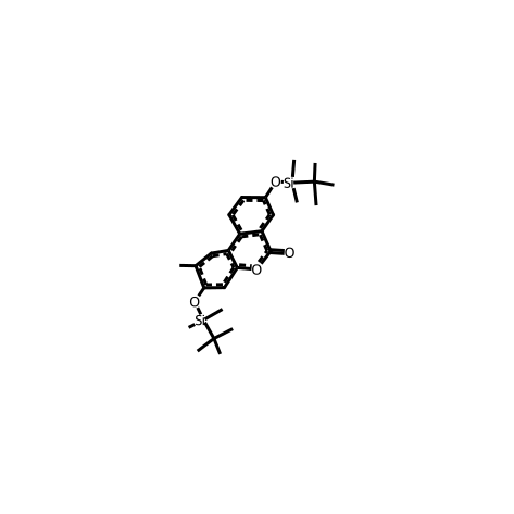 Cc1cc2c(cc1O[Si](C)(C)C(C)(C)C)oc(=O)c1cc(O[Si](C)(C)C(C)(C)C)ccc12